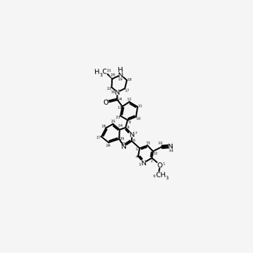 COc1ncc(-c2nc(-c3cccc(C(=O)N4CCN[C@H](C)C4)c3)c3ccccc3n2)cc1C#N